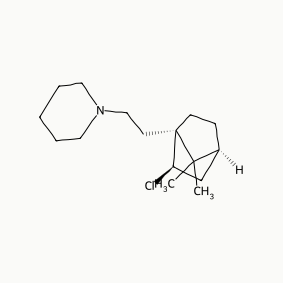 CC1(C)[C@H]2CC[C@]1(CCN1CCCCC1)[C@H](Cl)C2